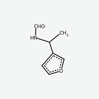 CC(N[C]=O)c1ccoc1